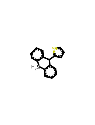 c1csc(C2c3ccccc3[SiH2]c3ccccc32)c1